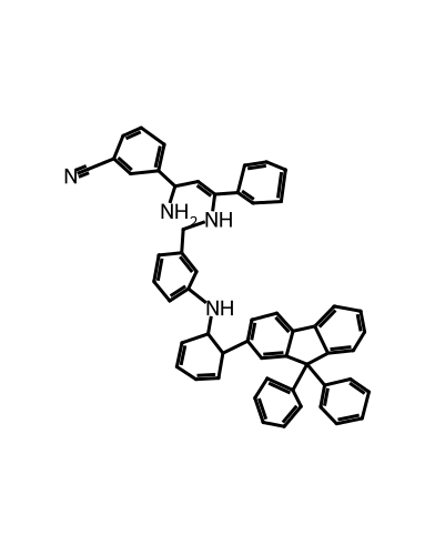 N#Cc1cccc(C(N)/C=C(\NCc2cccc(NC3C=CC=CC3c3ccc4c(c3)C(c3ccccc3)(c3ccccc3)c3ccccc3-4)c2)c2ccccc2)c1